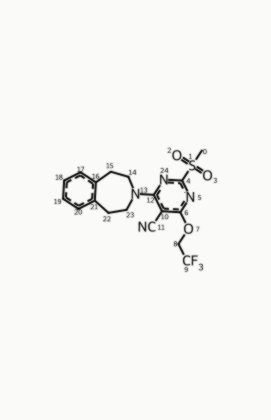 CS(=O)(=O)c1nc(OCC(F)(F)F)c(C#N)c(N2CCc3ccccc3CC2)n1